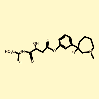 CCC1(c2cccc(OC(=O)C[C@H](O)C(=O)NC(C(=O)O)C(C)C)c2)CCCCN(C)C1